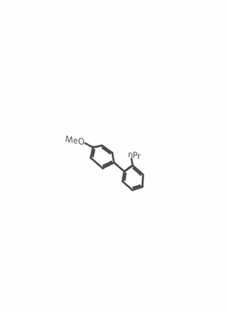 CCCc1ccccc1-c1ccc(OC)cc1